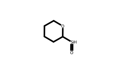 O=[SiH]C1CCCCO1